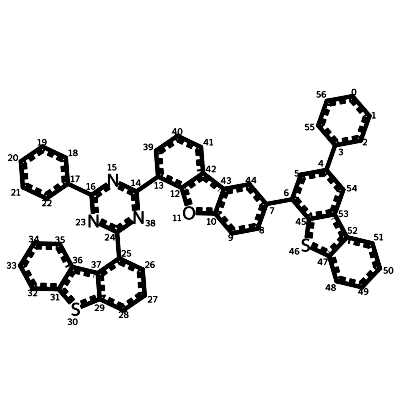 c1ccc(-c2cc(-c3ccc4oc5c(-c6nc(-c7ccccc7)nc(-c7cccc8sc9ccccc9c78)n6)cccc5c4c3)c3sc4ccccc4c3c2)cc1